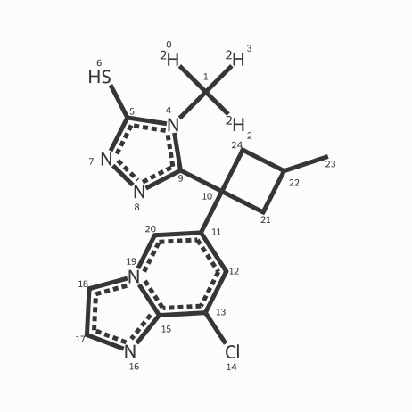 [2H]C([2H])([2H])n1c(S)nnc1C1(c2cc(Cl)c3nccn3c2)CC(C)C1